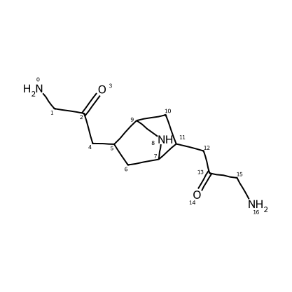 NCC(=O)CC1CC2NC1CC2CC(=O)CN